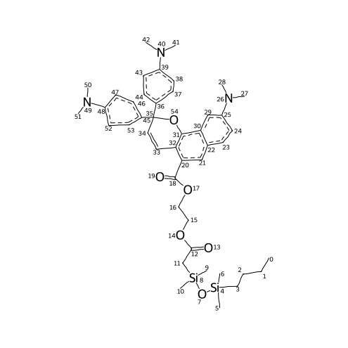 CCCC[Si](C)(C)O[Si](C)(C)CC(=O)OCCOC(=O)c1cc2ccc(N(C)C)cc2c2c1C=CC(c1ccc(N(C)C)cc1)(c1ccc(N(C)C)cc1)O2